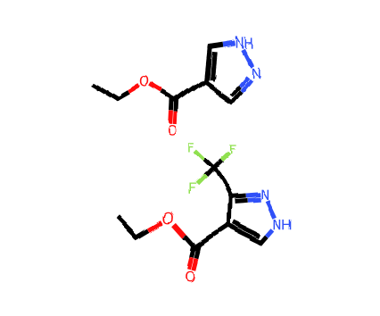 CCOC(=O)c1c[nH]nc1C(F)(F)F.CCOC(=O)c1cn[nH]c1